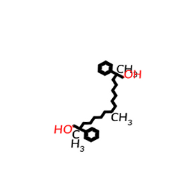 CC(CCCCCCC(C)(CO)c1ccccc1)CCCCCC(C)(CO)c1ccccc1